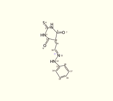 O=C1NC(=S)NC(=O)C1=C/C=N/Nc1ccccc1